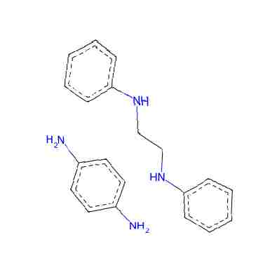 Nc1ccc(N)cc1.c1ccc(NCCNc2ccccc2)cc1